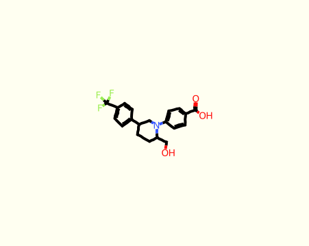 O=C(O)c1ccc(N2CC(c3ccc(C(F)(F)F)cc3)CCC2CO)cc1